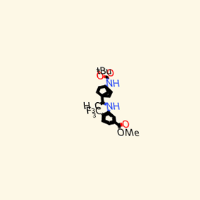 COC(=O)c1ccc(C(F)(F)F)c(NC(C)C23CCC(NC(=O)OC(C)(C)C)(CC2)C3)c1